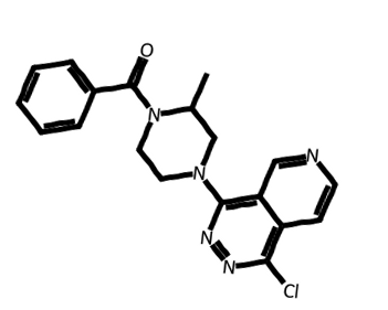 CC1CN(c2nnc(Cl)c3ccncc23)CCN1C(=O)c1ccccc1